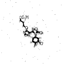 O=C(O)CCCOc1nonc1-c1noc(=O)n1-c1ccc(F)c(Cl)c1